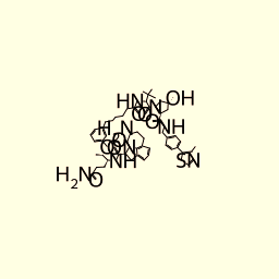 Cc1ncsc1-c1ccc(CNC(=O)[C@@H]2C[C@@H](O)CN2C(=O)[C@@H](NC(=O)CCCCCc2cccc(O[C@H](C)[C@H](CCC(N)=O)NC(=O)[C@@H]3Cc4cccc5c4N3C(=O)[C@@H](N)CC5)c2)C(C)(C)C)cc1